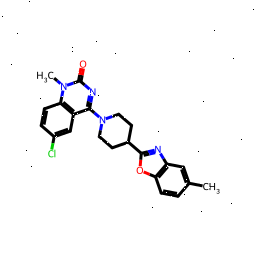 Cc1ccc2oc(C3CCN(c4nc(=O)n(C)c5ccc(Cl)cc45)CC3)nc2c1